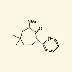 CNC1CC(C)(C)CCN(c2ccccn2)C1=O